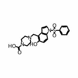 O=C(O)N1CCN(Cc2c(O)ccc3c2ccn3S(=O)(=O)c2ccccc2)CC1